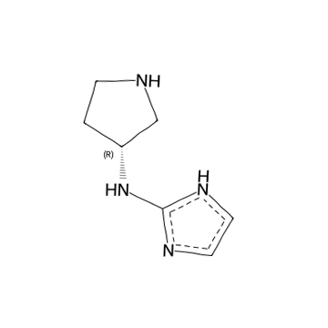 c1c[nH]c(N[C@@H]2CCNC2)n1